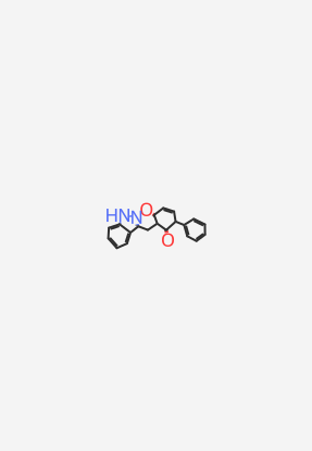 O=C1C=CC(c2ccccc2)C(=O)C1Cc1n[nH]c2ccccc12